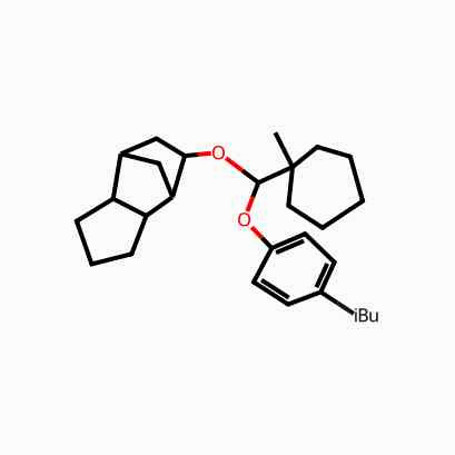 CCC(C)c1ccc(OC(OC2CC3CC2C2CCCC32)C2(C)CCCCC2)cc1